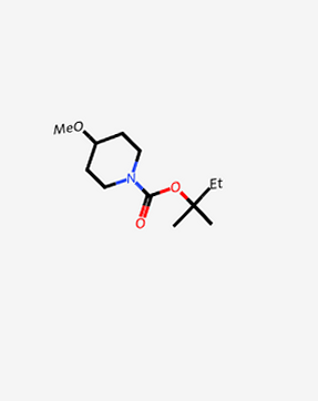 CCC(C)(C)OC(=O)N1CCC(OC)CC1